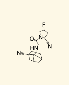 N#CC1CC(F)CN1C(=O)CNC12CC3CC(CC(C#N)(C3)C1)C2